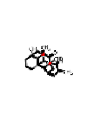 C=C1C=C2C[C@]3(C1=O)C(=O)C(=C)C1[C@@]4(C)CCC[C@@]1(C(OC)OC4)C23